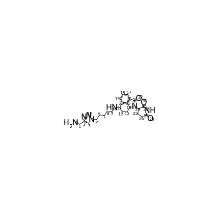 NCc1cn(CCCCCNC2CCC3c4c(cccc42)C(=O)N3C2CCC(=O)NC2=O)nn1